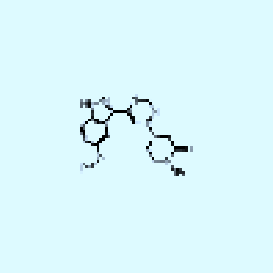 CC(C)Oc1ccc2[nH]nc(-c3cc(N4CCN(C(C)C)C(=O)C4)ncn3)c2c1